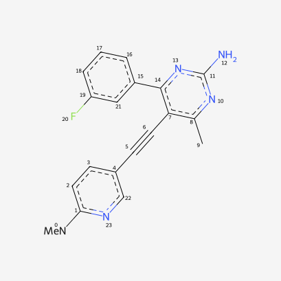 CNc1ccc(C#Cc2c(C)nc(N)nc2-c2cccc(F)c2)cn1